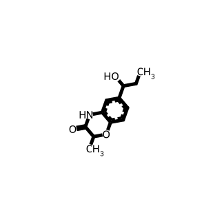 CCC(O)c1ccc2c(c1)NC(=O)C(C)O2